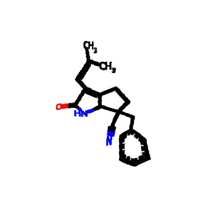 CC(C)=CC1=C2CCC(C#N)(Cc3ccccc3)C2NC1=O